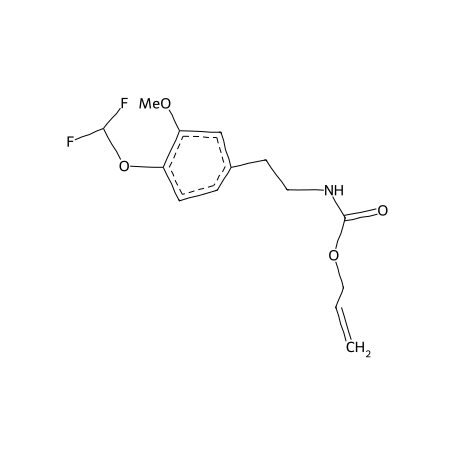 C=CCOC(=O)NCCc1ccc(OC(F)F)c(OC)c1